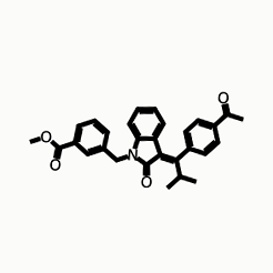 COC(=O)c1cccc(CN2C(=O)/C(=C(/c3ccc(C(C)=O)cc3)C(C)C)c3ccccc32)c1